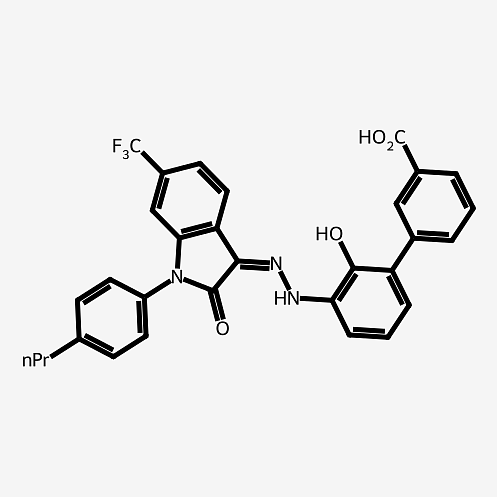 CCCc1ccc(N2C(=O)C(=NNc3cccc(-c4cccc(C(=O)O)c4)c3O)c3ccc(C(F)(F)F)cc32)cc1